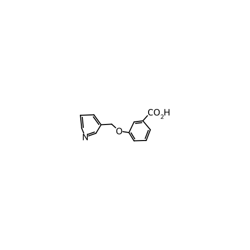 O=C(O)c1cccc(OCc2cccnc2)c1